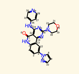 O=c1[nH]c2ccc(-n3cccn3)cc2c2nc(N3CCOCC3)nc(Nc3ccncc3)c12